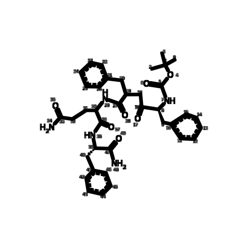 CC(C)(C)OC(=O)N[C@@H](Cc1ccccc1)C(=O)CC(Cc1ccccc1)C(=O)NC(CCC(N)=O)C(=O)N[C@@H](Cc1ccccc1)C(N)=O